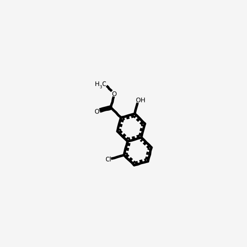 COC(=O)c1cc2c(Cl)cccc2cc1O